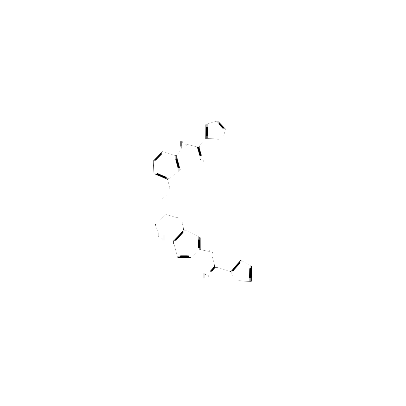 N=C(Nc1cccc(OC[C@@H](CN)Oc2cccc(NC(=N)c3cccs3)c2)c1)c1cccs1